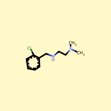 CN(C)CCNCc1ccccc1Cl